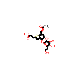 CC(=O)OCc1ccc(O[C@@H]2O[C@H](CCO)[C@H](O)[C@H](O)[C@H]2O)c2cc(CCC(=O)O)sc12